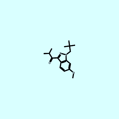 COc1ccc2c(C(=O)C(C)C)nn(CC(C)(C)C)c2c1